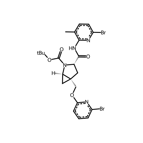 Cc1ccc(Br)nc1NC(=O)[C@@H]1C[C@@]2(COc3cccc(Br)n3)C[C@H]2N1C(=O)OC(C)(C)C